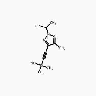 Cc1nn(C(C)N)nc1C#C[Si](C)(C)C(C)(C)C